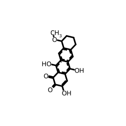 COC1CCCc2cc3c(O)c4c(c(O)c3cc21)C(=O)C(=O)C(O)=C4